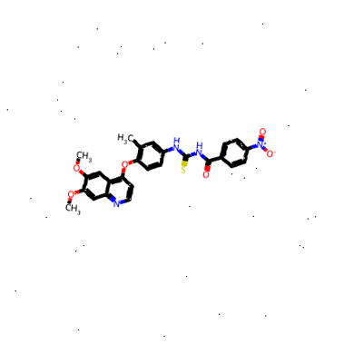 COc1cc2nccc(Oc3ccc(NC(=S)NC(=O)c4ccc([N+](=O)[O-])cc4)cc3C)c2cc1OC